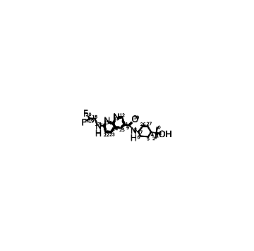 CC(C)(O)[C@H]1CC[C@H](NC(=O)c2cnc3nc(NCC(F)F)ccc3c2)CC1